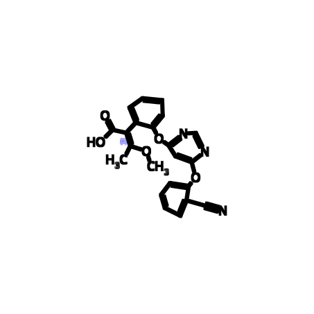 CO/C(C)=C(/C(=O)O)c1ccccc1Oc1cc(Oc2ccccc2C#N)ncn1